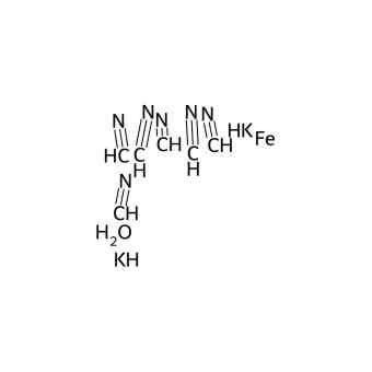 C#N.C#N.C#N.C#N.C#N.C#N.O.[Fe].[KH].[KH]